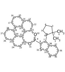 CC1(C)CCCP1c1c(-p2oc3ccc4ccccc4c3c3c(ccc4ccccc43)o2)sc2ccccc12